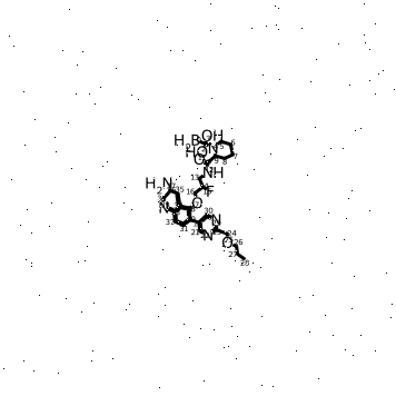 BC(O)(O)N1CCCCC1C(=O)NCC(F)COc1c(-c2cnc(COCCC)nc2)ccc2c1=CC(N)CN=2